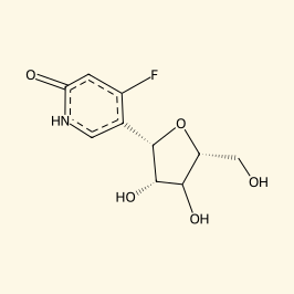 O=c1cc(F)c([C@@H]2O[C@H](CO)C(O)[C@@H]2O)c[nH]1